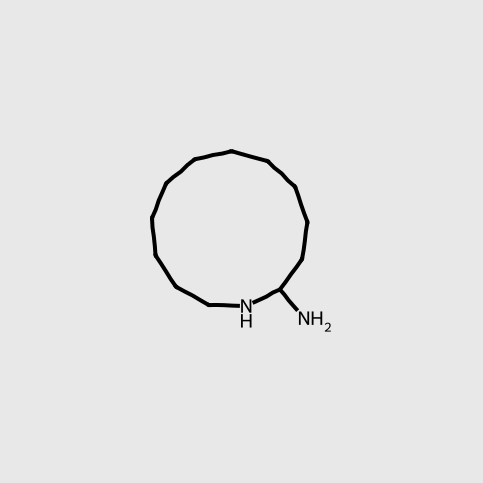 NC1CCCCCCCCCCCN1